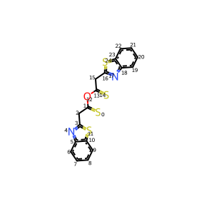 S=C(Cc1nc2ccccc2s1)OC(=S)Cc1nc2ccccc2s1